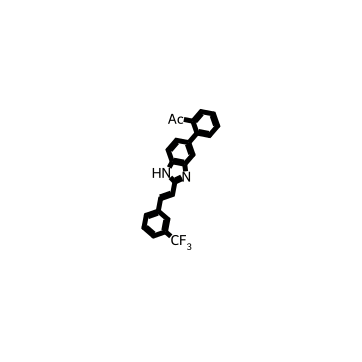 CC(=O)c1ccccc1-c1ccc2[nH]c(C=Cc3cccc(C(F)(F)F)c3)nc2c1